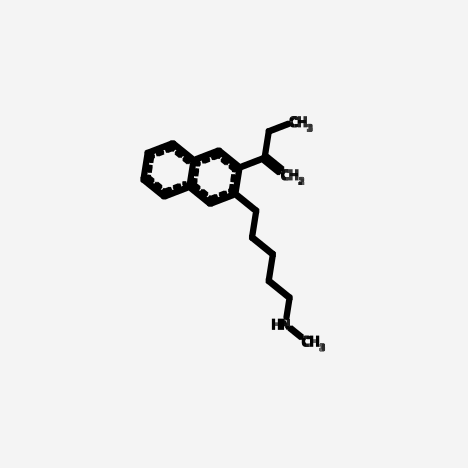 C=C(CC)c1cc2ccccc2cc1CCCCCNC